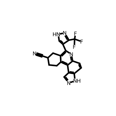 N#CC1CCc2c(c(-c3c[nH]nc3C(F)(F)F)nc3ccc4[nH]ncc4c23)C1